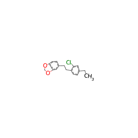 CCc1ccc(CCc2ccc3c(c2)OCO3)c(Cl)c1